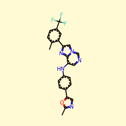 Cc1ncc(-c2ccc(Nc3cncn4cc(-c5cc(C(F)(F)F)ccc5C)nc34)cc2)o1